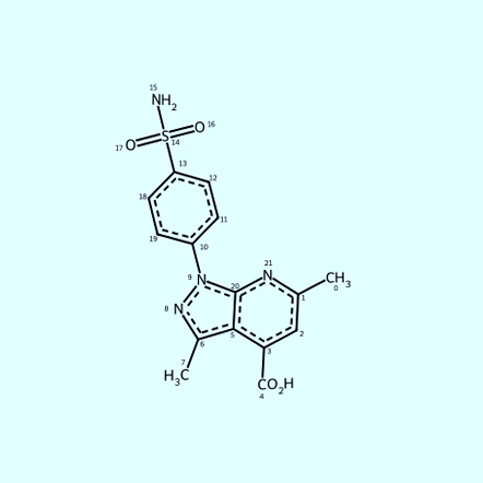 Cc1cc(C(=O)O)c2c(C)nn(-c3ccc(S(N)(=O)=O)cc3)c2n1